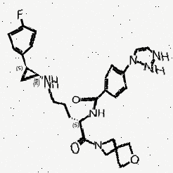 O=C(N[C@@H](CCCN[C@@H]1C[C@H]1c1ccc(F)cc1)C(=O)N1CC2(COC2)C1)c1ccc(N2C=CNN2)cc1